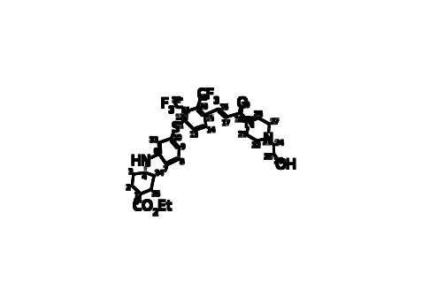 CCOC(=O)[C@H]1CC[C@H](Nc2cccc(Sc3ccc(C=CC(=O)N4CCN(CCO)CC4)c(C(F)(F)F)c3C(F)(F)F)c2)CC1